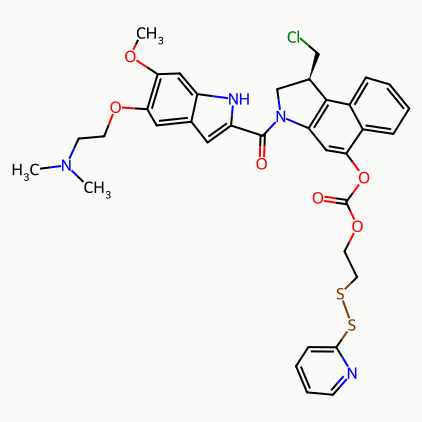 COc1cc2[nH]c(C(=O)N3C[C@@H](CCl)c4c3cc(OC(=O)OCCSSc3ccccn3)c3ccccc43)cc2cc1OCCN(C)C